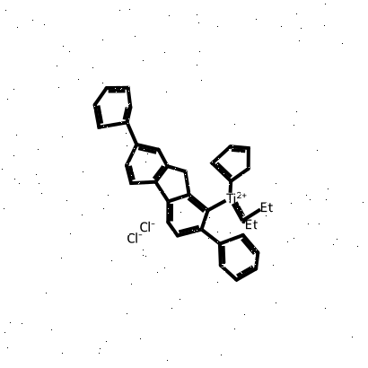 CC[C](CC)=[Ti+2]([C]1=CC=CC1)[c]1c(-c2ccccc2)ccc2c1Cc1cc(-c3ccccc3)ccc1-2.[Cl-].[Cl-]